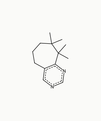 CC1(C)CCCc2cncnc2C1(C)C